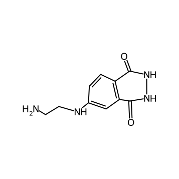 NCCNc1ccc2c(=O)[nH][nH]c(=O)c2c1